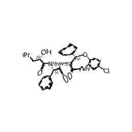 CC(C)C[C@H](O)C(=O)N[C@H](C(=O)N[C@@H]1C(=O)Nc2cc(Cl)ccc2O[C@H]1c1ccccc1)c1ccccc1